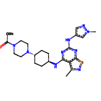 COC(=O)N1CCN([C@H]2CC[C@H](Nc3nc(Nc4cnn(C)c4)nc4snc(C)c34)CC2)CC1